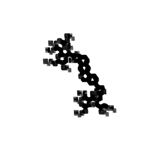 C=C[C@H](C)CN(Cc1ncc(-c2ccc3c(c2)COc2cc4c(ccc5nc([C@H](C)N(C[C@H](C)COC)C(=O)[C@@H](NC(=O)OC)C(C)C)[nH]c54)cc2-3)[nH]1)C(=O)[C@@H](NC(=O)OC)C(C)C